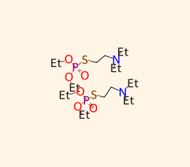 CCOP(=O)(OCC)SCCN(CC)CC.CCOP(=O)(OCC)SCCN(CC)CC